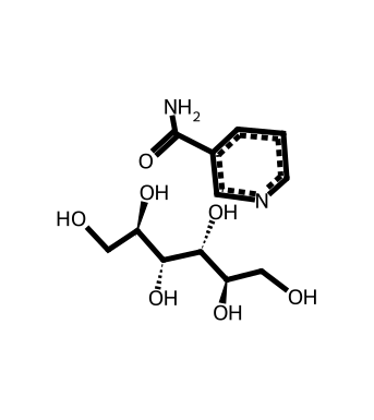 NC(=O)c1cccnc1.OC[C@@H](O)[C@@H](O)[C@H](O)[C@H](O)CO